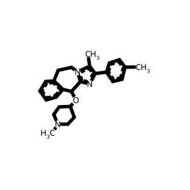 Cc1ccc(-c2nc3n(c2C)CCc2ccccc2C3OC2CCN(C)CC2)cc1